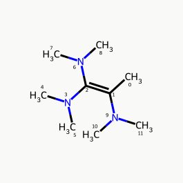 CC(=C(N(C)C)N(C)C)N(C)C